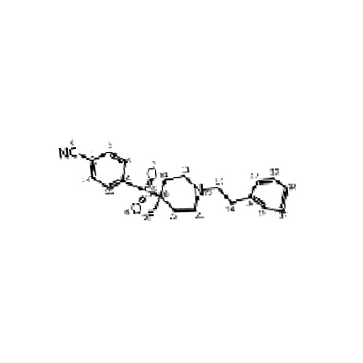 N#Cc1ccc(S(=O)(=O)C2(F)CCN(CCc3ccccc3)CC2)cc1